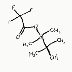 CC(C)(C)[Si](C)(C)OC(=O)C(F)(F)F